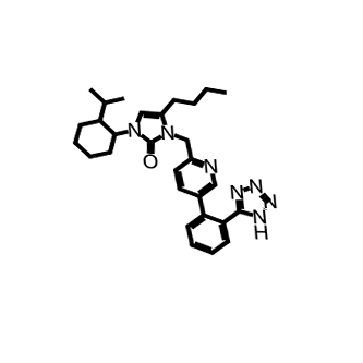 CCCCc1cn(C2CCCCC2C(C)C)c(=O)n1Cc1ccc(-c2ccccc2-c2nnn[nH]2)cn1